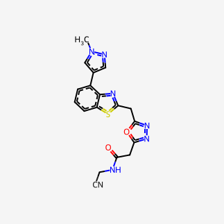 Cn1cc(-c2cccc3sc(Cc4nnc(CC(=O)NCC#N)o4)nc23)cn1